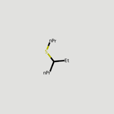 [CH2]CCC(CC)SCCC